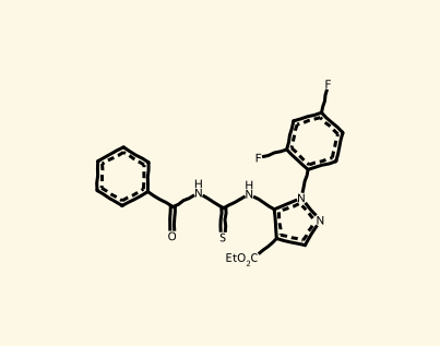 CCOC(=O)c1cnn(-c2ccc(F)cc2F)c1NC(=S)NC(=O)c1ccccc1